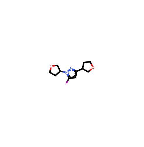 Ic1cc(C2CCOC2)nn1C1CCOC1